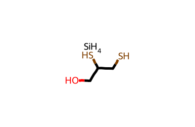 OCC(S)CS.[SiH4]